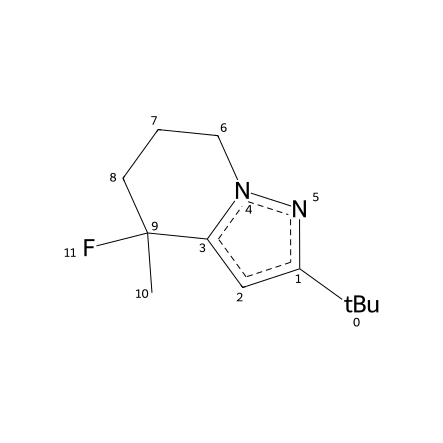 CC(C)(C)c1cc2n(n1)CCCC2(C)F